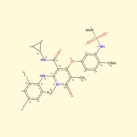 CNS(=O)(=O)Nc1cc(Oc2c(C(=O)NC3CC3)c(Nc3ccc(I)cc3F)n(C)c(=O)c2C)ccc1OC